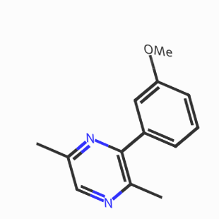 COc1cccc(-c2nc(C)cnc2C)c1